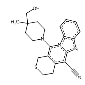 CC1(CO)CCN(c2c3c(c(C#N)c4nc5ccccc5n24)CCSC3)CC1